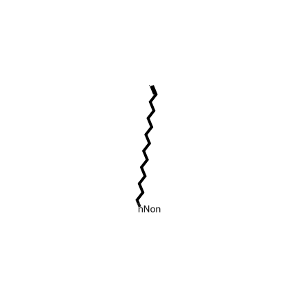 [CH]=CCCCCCCCCCCCCCCCCCCCCCC